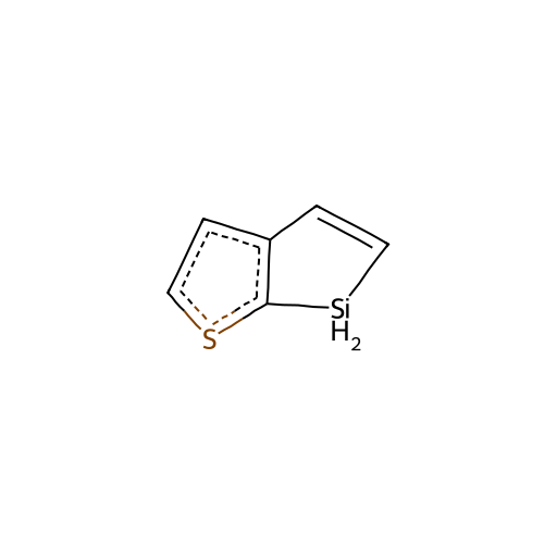 C1=Cc2ccsc2[SiH2]1